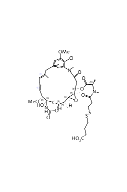 COc1cc2cc(c1Cl)N(C)C(=O)C[C@H](OC(=O)[C@@H](C)N(C)C(=O)CCSSCCCC(=O)O)[C@@]1(C)O[C@H]1[C@H](C)[C@@H]1C[C@@](O)(NC(=O)O1)[C@H](OC)/C=C/C=C(\C)C2